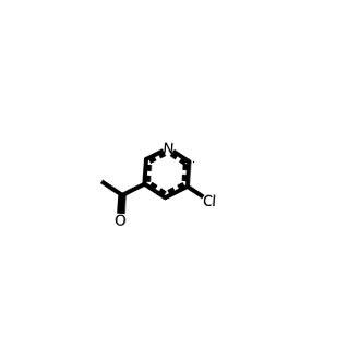 CC(=O)c1cn[c]c(Cl)c1